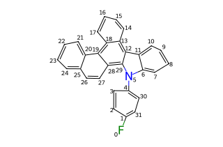 Fc1ccc(-n2c3ccccc3c3c4ccccc4c4c5ccccc5ccc4c32)cc1